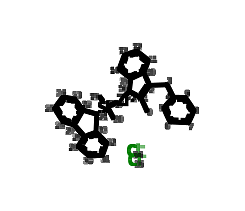 CC1=C(Cc2ccccc2)c2ccccc2[CH]1[Zr+2][Si](C)(C)C1c2ccccc2-c2ccccc21.[Cl-].[Cl-]